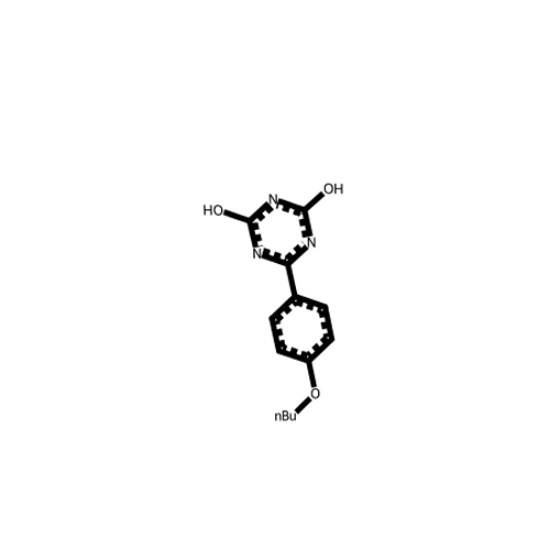 CCCCOc1ccc(-c2nc(O)nc(O)n2)cc1